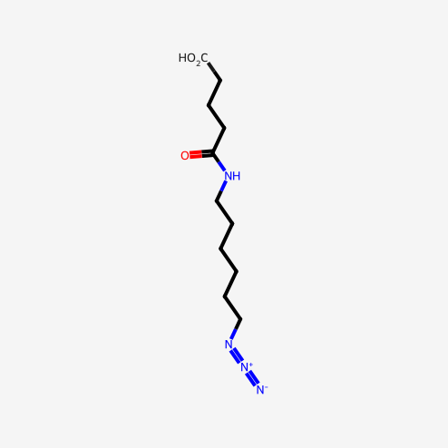 [N-]=[N+]=NCCCCCCNC(=O)CCCC(=O)O